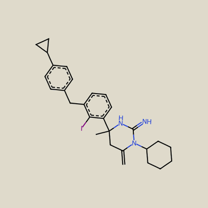 C=C1CC(C)(c2cccc(Cc3ccc(C4CC4)cc3)c2I)NC(=N)N1C1CCCCC1